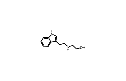 OCCNCCc1c[nH]c2ccccc12